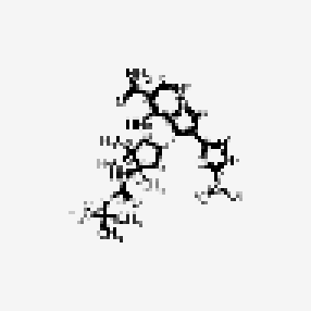 C[S+]([O-])c1nnc(-c2cc3c(N[C@@H]4CC[C@](C)(NC(=O)OC(C)(C)C)C4(C)C)c(C(N)=O)cnn3c2)o1